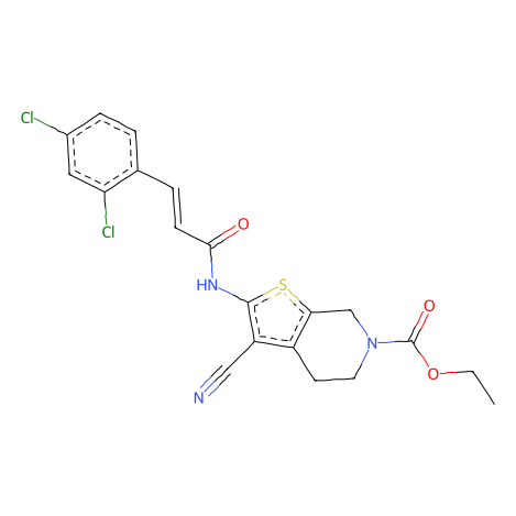 CCOC(=O)N1CCc2c(sc(NC(=O)C=Cc3ccc(Cl)cc3Cl)c2C#N)C1